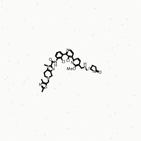 COc1nc(-c2ccnc(-c3cccc(NC(=O)c4nc5c(n4C)CCN(Cc4sc(C)nc4C)C5)c3Cl)c2Cl)ccc1CNC[C@@H]1CCC(=O)N1